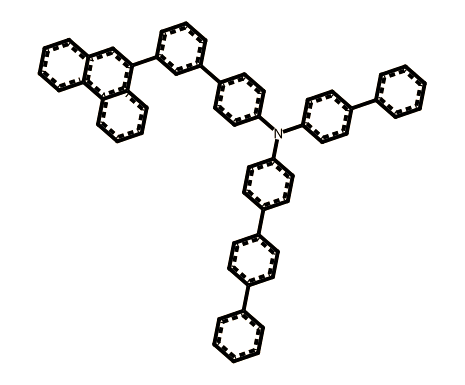 c1ccc(-c2ccc(-c3ccc(N(c4ccc(-c5ccccc5)cc4)c4ccc(-c5cccc(-c6cc7ccccc7c7ccccc67)c5)cc4)cc3)cc2)cc1